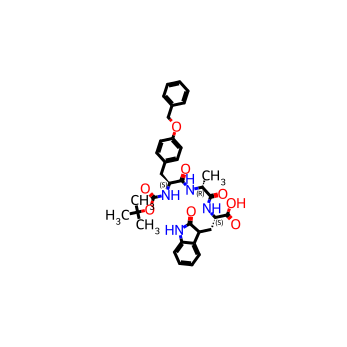 C[C@@H](NC(=O)[C@H](Cc1ccc(OCc2ccccc2)cc1)NC(=O)OC(C)(C)C)C(=O)N[C@@H](CC1C(=O)Nc2ccccc21)C(=O)O